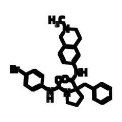 CN1CCc2cc(NC(=O)C3(Cc4ccccc4)CCCN3C(=O)Nc3ccc(Br)cc3)ccc2C1